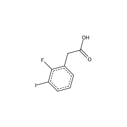 O=C(O)Cc1cccc(I)c1F